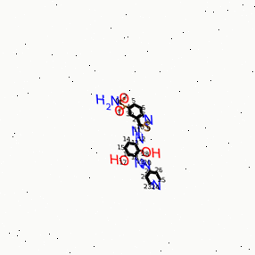 NS(=O)(=O)c1ccc2nsc(/N=N/c3ccc(O)c(/N=N/c4ccncc4)c3O)c2c1